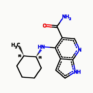 C[C@H]1CCCC[C@H]1Nc1c(C(N)=O)cnc2[nH]ccc12